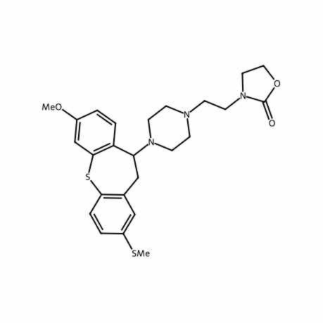 COc1ccc2c(c1)Sc1ccc(SC)cc1CC2N1CCN(CCN2CCOC2=O)CC1